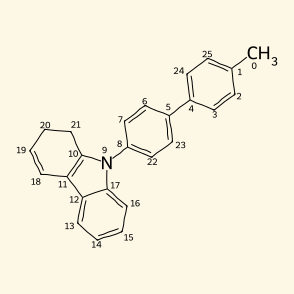 Cc1ccc(-c2ccc(-n3c4c(c5ccccc53)C=CCC4)cc2)cc1